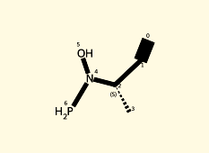 C#C[C@H](C)N(O)P